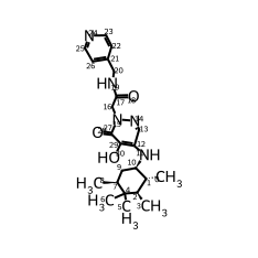 C[C@@H]1[C@@H](C)C(C)(C)[C@@H](C)C[C@H]1Nc1cnn(CC(=O)NCc2ccncc2)c(=O)c1O